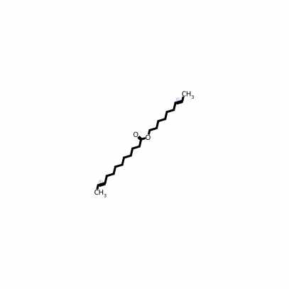 C/C=C/CCCCCCCCC(=O)OCCCCCC/C=C/C